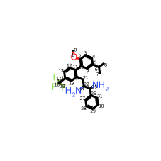 COc1ccc(C(C)C)cc1-c1ccc(C(F)(F)F)cc1CC(N)C(N)c1ccccc1